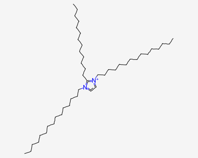 CCCCCCCCCCCCCCCn1cc[n+](CCCCCCCCCCCCCCC)c1CCCCCCCCCCCCC